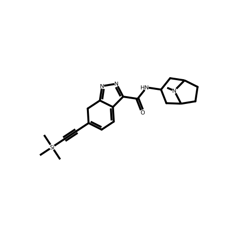 CN1C2CCC1CC(NC(=O)C1=NN=C3CC(C#C[Si](C)(C)C)=CC=C31)C2